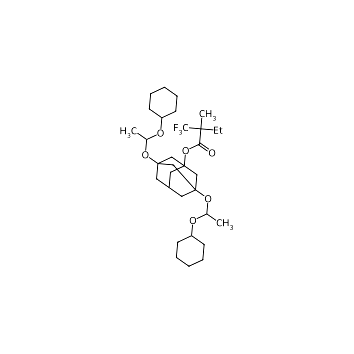 CCC(C)(C(=O)OC12CC3CC(OC(C)OC4CCCCC4)(C1)CC(OC(C)OC1CCCCC1)(C3)C2)C(F)(F)F